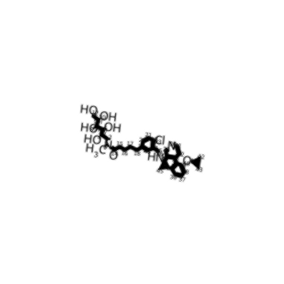 CN(C[C@@H](O)[C@H](O)[C@@H](O)[C@@H](O)CO)C(=O)CCCCc1ccc(Cl)c(CNC2(c3cnccc3-c3ccccc3OC3CC3)CC2)c1